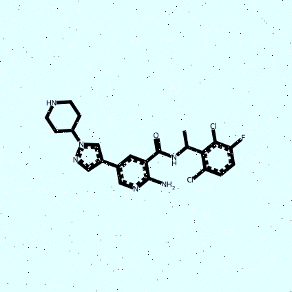 CC(NC(=O)c1cc(-c2cnn(C3CCNCC3)c2)cnc1N)c1c(Cl)ccc(F)c1Cl